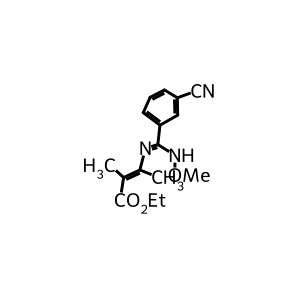 CCOC(=O)/C(C)=C(C)/N=C(\NOC)c1cccc(C#N)c1